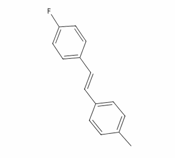 Cc1ccc(/C=C/c2ccc(F)cc2)cc1